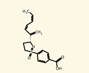 C=C(/C=C\C=C/C)[C@H]1CCS(=O)(c2ccc(C(=O)O)cc2)=N1